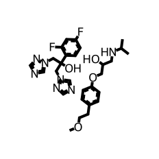 COCCc1ccc(OCC(O)CNC(C)C)cc1.OC(Cn1cncn1)(Cn1cncn1)c1ccc(F)cc1F